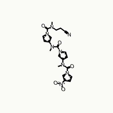 CN(CCC#N)C(=O)n1ccc(N(C)C(=O)n2ccc(N(C)C(=O)n3ccc([N+](=O)[O-])c3)c2)c1